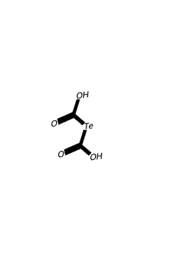 O=C(O)[Te]C(=O)O